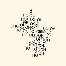 O=C[C@H](O)[C@@H](O)[C@H](O[C@@H]1O[C@H](CO[C@H]2OC[C@@H](O)[C@H](O)[C@H]2O[C@@H]2O[C@H](CO)[C@H](O)[C@H](O)[C@H]2O)[C@@H](O[C@@H]2O[C@H](CO[C@H]3OC[C@@H](O)[C@H](O)[C@H]3O[C@@H]3O[C@H](CO)[C@H](O)[C@H](O)[C@H]3O)[C@@H](O[C@@H]3O[C@H](CO[C@H]4OC[C@@H](O)[C@H](O)[C@H]4O)[C@@H](O)[C@H](O)[C@H]3O)[C@H](O)[C@H]2O)[C@H](O)[C@H]1O)[C@H](O)CO